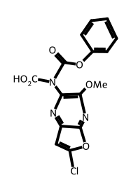 COc1nc2oc(Cl)cc2nc1N(C(=O)O)C(=O)Oc1ccccc1